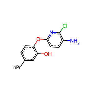 CCCc1ccc(Oc2ccc(N)c(Cl)n2)c(O)c1